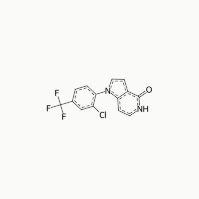 O=c1[nH]ccc2c1ccn2-c1ccc(C(F)(F)F)cc1Cl